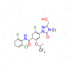 CCn1c(CO)nn(C2=C(F)CC(C(=O)NC3=C(F)CCC=C3Cl)C(O[C@@H](C)C(F)(F)F)=C2)c1=O